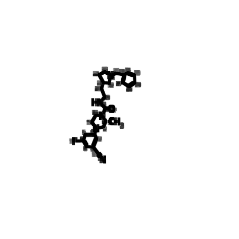 C[C@@H]1CN(c2cc(F)cc(C#N)c2)CCN1C(=O)NCC[C@H]1CCN(Cc2ccccc2)C1